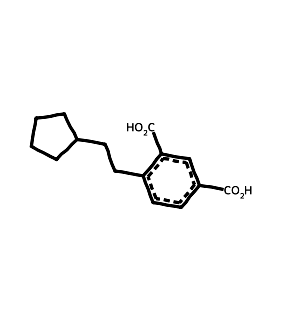 O=C(O)c1ccc(CCC2CCCC2)c(C(=O)O)c1